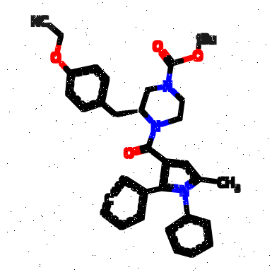 Cc1cc(C(=O)N2CCN(C(=O)OC(C)(C)C)C[C@H]2Cc2ccc(OCC#N)cc2)c(-c2ccccc2)n1-c1ccccc1